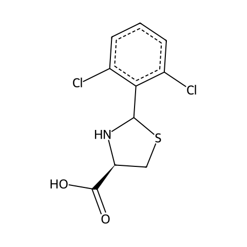 O=C(O)[C@@H]1CSC(c2c(Cl)cccc2Cl)N1